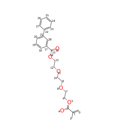 C=C(C)C(=O)OCCOCCOCCOC(=O)c1cccc(-c2ccccc2)c1